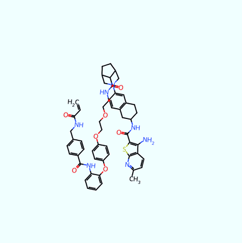 C=CC(=O)NCc1ccc(C(=O)Nc2ccccc2Oc2ccc(OCCOCCNC(=O)C3C4CCC3CN(c3ccc5c(c3)CCC(NC(=O)c3sc6nc(C)ccc6c3N)C5)C4)cc2)cc1